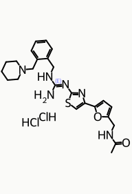 CC(=O)NCc1ccc(-c2csc(/N=C(\N)NCc3ccccc3CN3CCCCC3)n2)o1.Cl.Cl